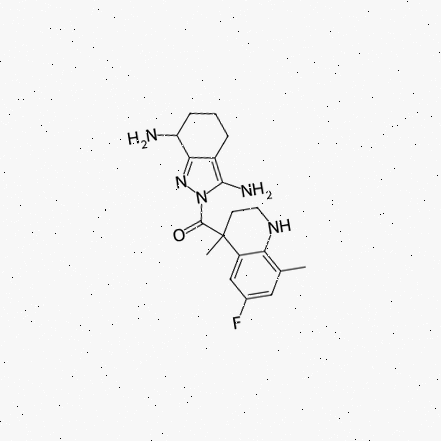 Cc1cc(F)cc2c1NCCC2(C)C(=O)n1nc2c(c1N)CCCC2N